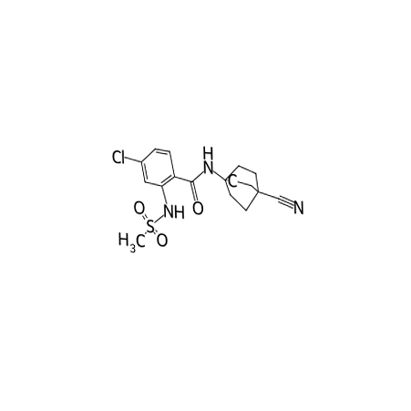 CS(=O)(=O)Nc1cc(Cl)ccc1C(=O)NC12CCC(C#N)(CC1)CC2